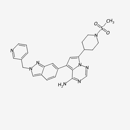 CS(=O)(=O)N1CCC(c2cc(-c3ccc4cn(Cc5cccnc5)nc4c3)c3c(N)ncnn23)CC1